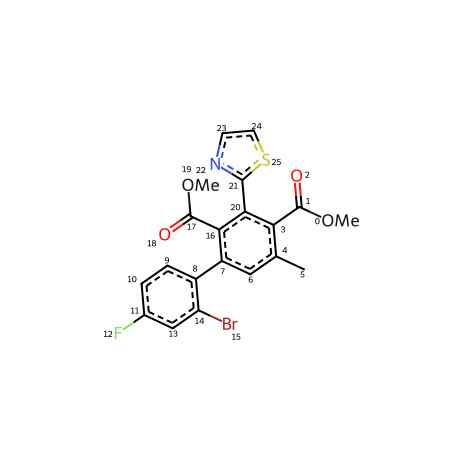 COC(=O)c1c(C)cc(-c2ccc(F)cc2Br)c(C(=O)OC)c1-c1nccs1